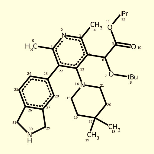 Cc1nc(C)c(C(OC(C)(C)C)C(=O)OC(C)C)c(N2CCC(C)(C)CC2)c1-c1ccc2c(c1)CNC2